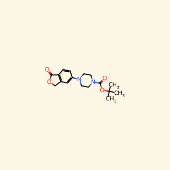 CC(C)(C)OC(=O)N1CCN(c2ccc3c(c2)COC3=O)CC1